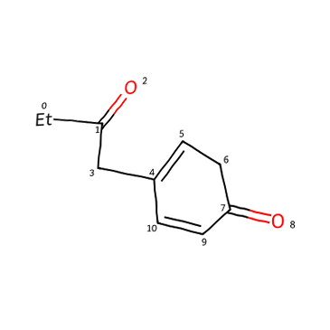 CCC(=O)CC1=CCC(=O)C=C1